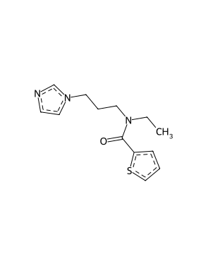 CCN(CCCn1ccnc1)C(=O)c1cccs1